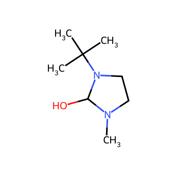 CN1CCN(C(C)(C)C)C1O